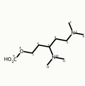 CN(C)CCC(CCOC(=O)O)N(C)C